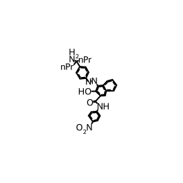 CCCC(N)(CCC)c1ccc(N=Nc2c(O)c(C(=O)Nc3ccc([N+](=O)[O-])cc3)cc3ccccc23)cc1